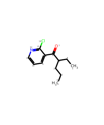 CCCC(CC)C(=O)c1cccnc1Cl